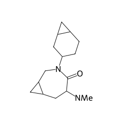 CNC1CC2CC2CN(C2CCC3CC3C2)C1=O